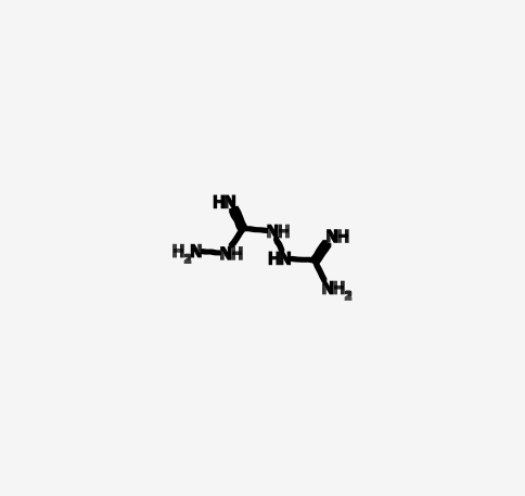 N=C(N)NNC(=N)NN